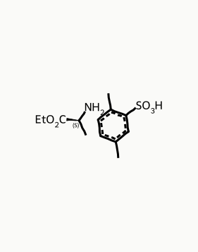 CCOC(=O)[C@H](C)N.Cc1ccc(C)c(S(=O)(=O)O)c1